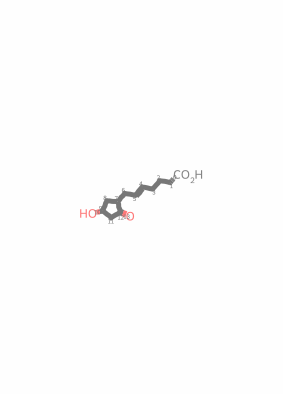 O=C(O)CCC/C=C/CC1CC(O)CC1=O